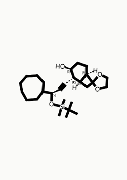 CC(C)(C)[Si](C)(C)O[C@H](C#C[C@H]1[C@@H]2CC3(OCCO3)[C@@H]2CC[C@@H]1O)C1CCCCCCC1